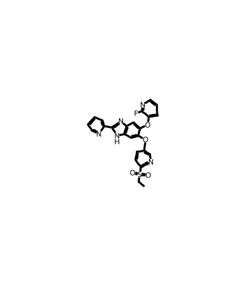 CCS(=O)(=O)c1ccc(Oc2cc3[nH]c(-c4ccccn4)nc3cc2Oc2cccnc2F)cn1